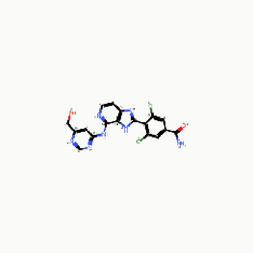 NC(=O)c1cc(Cl)c(-c2nc3ccnc(Nc4cc(CO)ncn4)c3[nH]2)c(Cl)c1